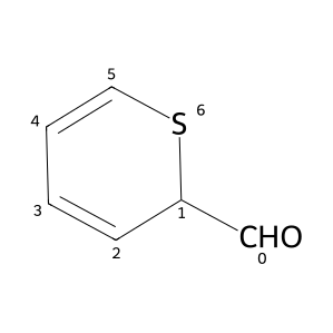 O=CC1C=CC=CS1